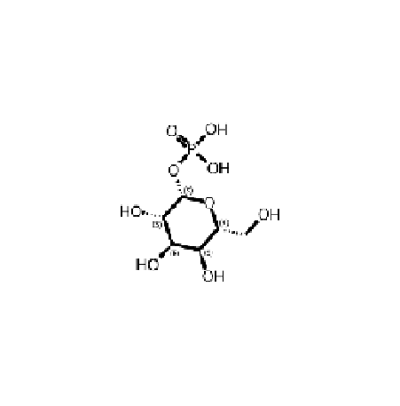 O=P(O)(O)O[C@@H]1O[C@H](CO)[C@@H](O)[C@@H](O)[C@@H]1O